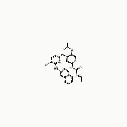 C/C=C/C(=O)Nc1ccc(OC(C)C)c(Nc2ncc(Br)c(Nc3ccc4ccccc4c3)n2)c1